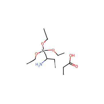 CCC(=O)O.CCO[Si](OCC)(OCC)C(N)CC